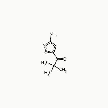 CC(C)(C)C(=O)c1cc(N)no1